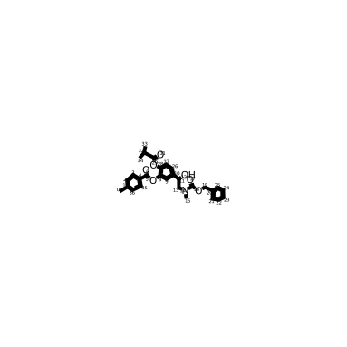 Cc1ccc(C(=O)Oc2cc(C(O)CN(C)C(=O)OCc3ccccc3)ccc2OC(=O)C(C)C)cc1